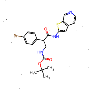 CC(C)(C)OC(=O)NCC(C(=O)Nc1cc2ccncc2s1)c1ccc(Br)cc1